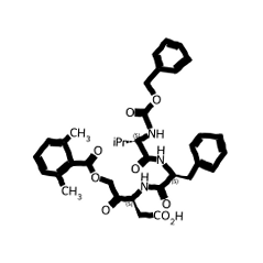 Cc1cccc(C)c1C(=O)OCC(=O)[C@H](CC(=O)O)NC(=O)[C@H](Cc1ccccc1)NC(=O)[C@@H](NC(=O)OCc1ccccc1)C(C)C